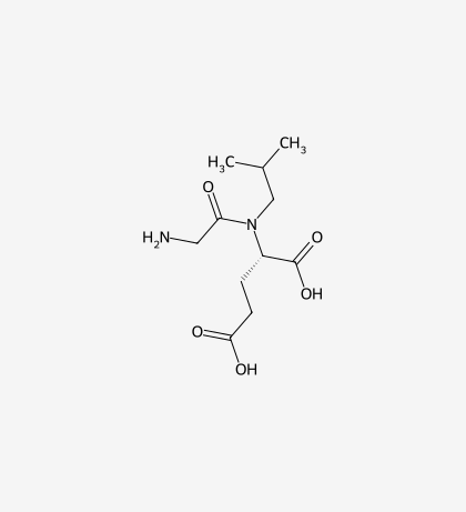 CC(C)CN(C(=O)CN)[C@@H](CCC(=O)O)C(=O)O